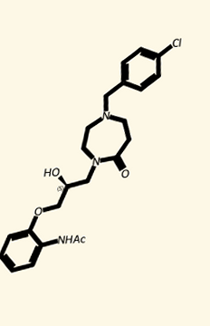 CC(=O)Nc1ccccc1OC[C@@H](O)CN1CCN(Cc2ccc(Cl)cc2)CCC1=O